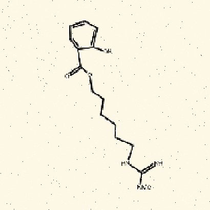 CNC(=N)NCCCCCCOC(=O)c1ccccc1O